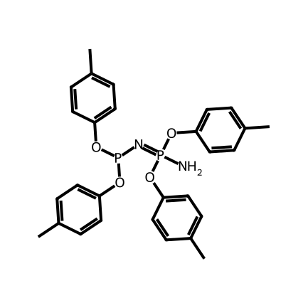 Cc1ccc(OP(N=P(N)(Oc2ccc(C)cc2)Oc2ccc(C)cc2)Oc2ccc(C)cc2)cc1